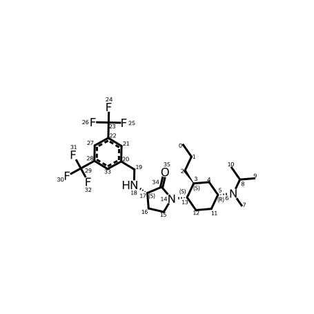 CCC[C@H]1C[C@H](N(C)C(C)C)CC[C@@H]1N1CC[C@H](NCc2cc(C(F)(F)F)cc(C(F)(F)F)c2)C1=O